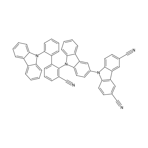 N#Cc1ccc2c(c1)c1cc(C#N)ccc1n2-c1ccc2c(c1)c1ccccc1n2-c1c(C#N)cccc1-c1ccccc1-n1c2ccccc2c2ccccc21